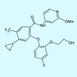 COc1cc(NC(=O)c2cc(C(F)(F)F)c(C3CC3)cc2Oc2ccc(F)cc2OCCO)ccn1